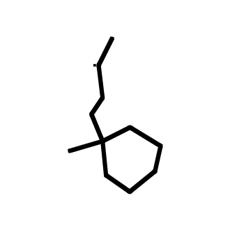 C[CH]CCC1(C)CCCCC1